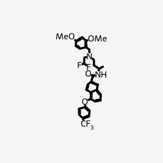 COc1ccc(CN(CCC(C)NC(=O)c2ccc3c(Oc4ccc(C(F)(F)F)cc4)cccc3c2)CC(F)F)c(OC)c1